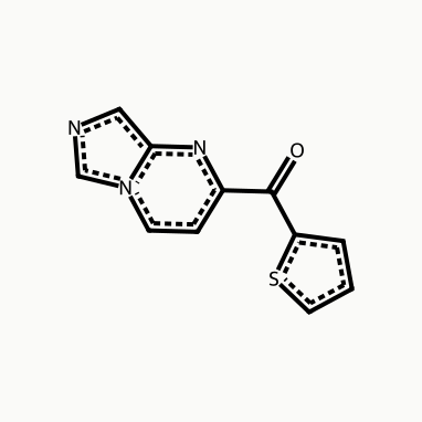 O=C(c1ccn2cncc2n1)c1cccs1